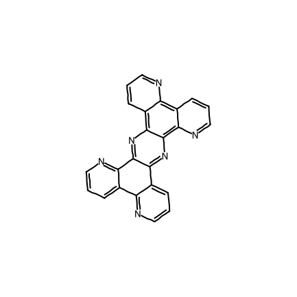 c1cnc2c(c1)c1ncccc1c1nc3c4ncccc4c4ncccc4c3nc21